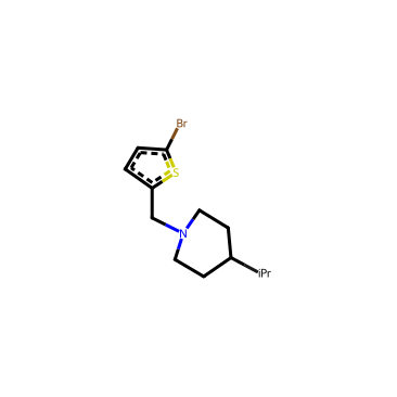 CC(C)C1CCN(Cc2ccc(Br)s2)CC1